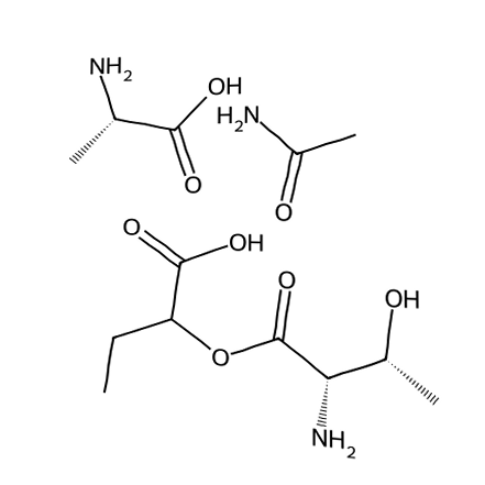 CC(N)=O.CCC(OC(=O)[C@@H](N)[C@@H](C)O)C(=O)O.C[C@H](N)C(=O)O